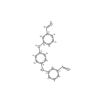 O=Cc1cccc(Oc2ccc(Oc3cccc(C=O)c3)cc2)c1